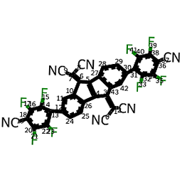 N#CC(C#N)=C1C2=C(C(=C(C#N)C#N)c3cc(-c4c(F)c(F)c(C#N)c(F)c4F)ccc32)c2ccc(-c3c(F)c(F)c(C#N)c(F)c3F)cc21